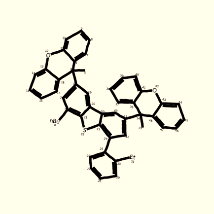 CCCCc1cc(C2(C)c3ccccc3Oc3ccccc32)cc2c1sc1c(-c3ccccc3CC)cc(C3(C)c4ccccc4Oc4ccccc43)cc12